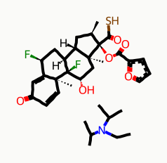 CCN(C(C)C)C(C)C.C[C@@H]1C[C@H]2[C@@H]3C[C@H](F)C4=CC(=O)C=C[C@]4(C)[C@@]3(F)[C@@H](O)C[C@]2(C)[C@@]1(OC(=O)c1ccco1)C(=O)S